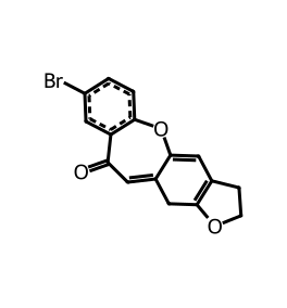 O=C1C=C2CC3=C(C=C2Oc2ccc(Br)cc21)CCO3